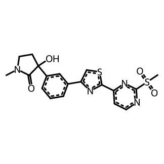 CN1CCC(O)(c2cccc(-c3csc(-c4ccnc(S(C)(=O)=O)n4)n3)c2)C1=O